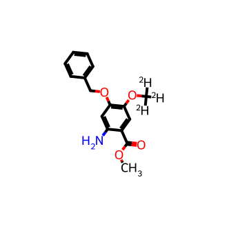 [2H]C([2H])([2H])Oc1cc(C(=O)OC)c(N)cc1OCc1ccccc1